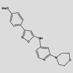 COc1ccc(-c2cc(Nc3ccnc(N4CCOCC4)c3)on2)cc1